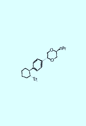 CCC[C@H]1CO[C@H](c2ccc([C@@H]3CCCC[C@H]3CC)cc2)CO1